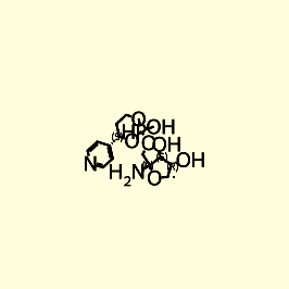 N[C@]1(CO[PH]2(O)OCC[C@@H](c3ccncc3)O2)O[CH][C@@H](O)[C@@H]1O